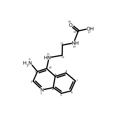 Nc1cnc2ccccc2c1NCCNC(=O)O